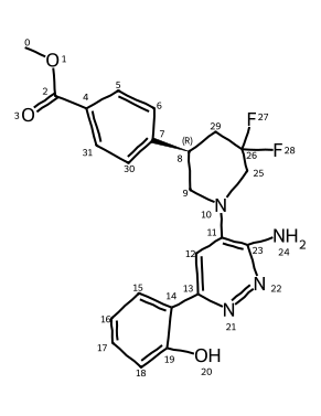 COC(=O)c1ccc([C@@H]2CN(c3cc(-c4ccccc4O)nnc3N)CC(F)(F)C2)cc1